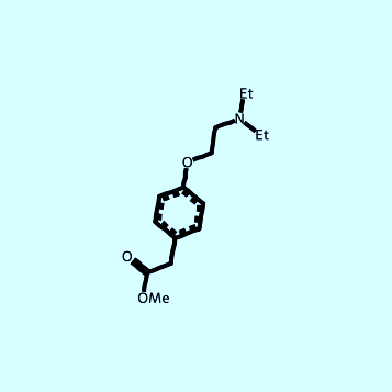 CCN(CC)CCOc1ccc(CC(=O)OC)cc1